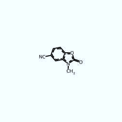 Cn1c(=O)oc2ccc(C#N)cc21